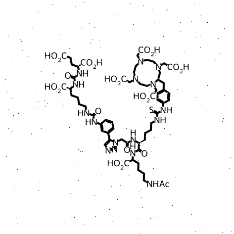 CC(=O)NCCCCC(NC(=O)[C@H](CCCCNC(=S)Nc1ccc(CC2CN(CC(=O)O)CCN(CC(=O)O)CCN(CC(=O)O)CCN2CC(=O)O)cc1)NC(=O)Cn1nncc1-c1cccc(NC(=O)NCCCC[C@H](NC(=O)N[C@@H](CCC(=O)O)C(=O)O)C(=O)O)c1)C(=O)O